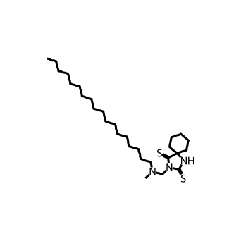 CCCCCCCCCCCCCCCCCCN(C)CN1C(=S)NC2(CCCCC2)C1=S